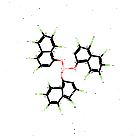 Fc1cc(OB(Oc2cc(F)c(F)c3c(F)c(F)c(F)c(F)c23)Oc2cc(F)c(F)c3c(F)c(F)c(F)c(F)c23)c2c(F)c(F)c(F)c(F)c2c1F